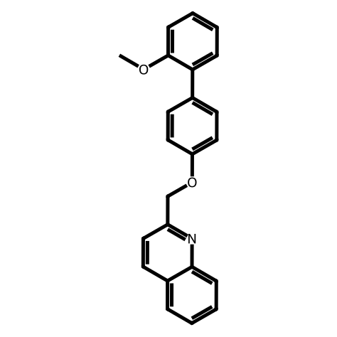 COc1ccccc1-c1ccc(OCc2ccc3ccccc3n2)cc1